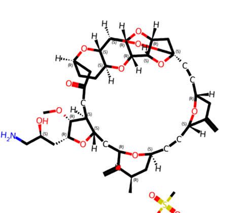 C=C1C[C@H]2CC[C@@]34C[C@H]5O[C@H]6[C@@H](O3)[C@H]3O[C@H](CC[C@@H]3O[C@H]6[C@H]5O4)CC(=O)C[C@@H]3[C@@H](OC)[C@@H](C[C@H](O)CN)O[C@H]3C[C@H]3O[C@@H](CC[C@@H]1O2)C[C@@H](C)C3=C.CS(=O)(=O)O